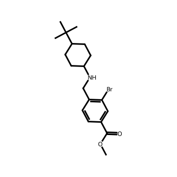 COC(=O)c1ccc(CNC2CCC(C(C)(C)C)CC2)c(Br)c1